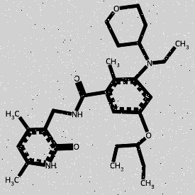 CCC(CC)Oc1cc(C(=O)NCc2c(C)cc(C)[nH]c2=O)c(C)c(N(CC)C2CCOCC2)c1